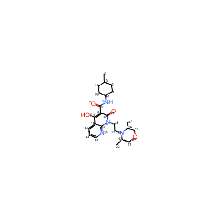 CC1CCC(NC(=O)c2c(O)c3cccnc3n(CCN3[C@H](C)COC[C@@H]3C)c2=O)CC1